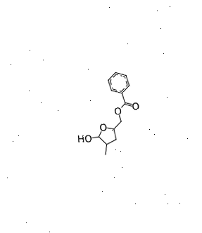 CC1CC(COC(=O)c2ccccc2)OC1O